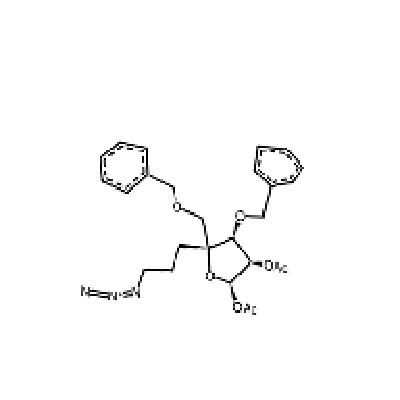 CC(=O)O[C@H]1O[C@](CCCN=[N+]=[N-])(COCc2ccccc2)[C@@H](OCc2ccccc2)[C@H]1OC(C)=O